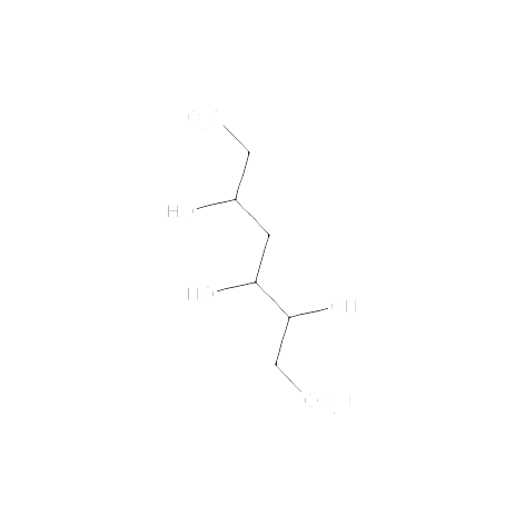 O=C(O)CC(O)CC(O)C(O)CC(=O)O